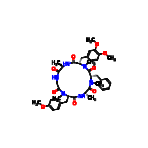 COc1ccc(CC2C(=O)N[C@@H](C)C(=O)N(C)[C@@H](Cc3ccccc3)C(=O)N(C)[C@@H](Cc3ccc(OC)c(OC)c3)C(=O)N[C@H](C)C(=O)NCC(=O)N2C)cc1